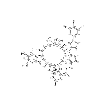 CC[C@H]1OC(=O)[C@H](C)[C@@H](O[C@H]2C[C@@](C)(OC)[C@@H](O)[C@H](C)O2)[C@H](C)[C@@H](O[C@@H]2O[C@H](C)C[C@H](N(C)CCc3cn(CC4CC(c5cc(F)c(F)c(F)c5)=NO4)nn3)[C@H]2O)[C@](C)(O)C[C@@H](C)CN(C)[C@H](C)[C@@H](O)[C@]1(C)O